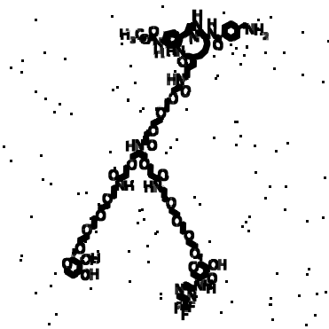 COC(=O)Nc1ccc2c(c1)NC(=O)C(CCCNC(=O)COCCOCCOCC(=O)NC(COCCC(=O)NCCOCCOCCOCCOC[C@H]1OC[C@H](Nc3cncc(C(F)(F)F)n3)[C@@H](O)[C@H]1O)COCCC(=O)NCCOCCOCCOCCOC[C@H]1OCC[C@@H](O)[C@H]1O)CCC[C@H](NC(=O)[C@H]1CC[C@H](CN)CC1)c1nc-2c[nH]1